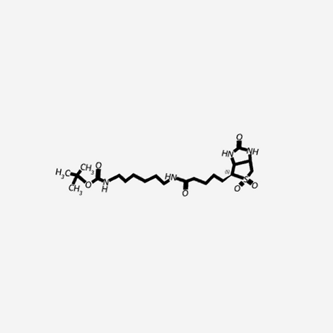 CC(C)(C)OC(=O)NCCCCCCNC(=O)CCCC[C@H]1C2NC(=O)NC2CS1(=O)=O